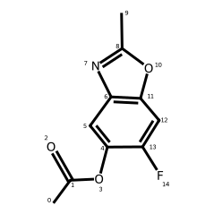 CC(=O)Oc1cc2nc(C)oc2cc1F